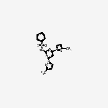 O=S(=O)(Nc1nc(-n2ccc(C(F)(F)F)n2)cc(-n2ccc(C(F)(F)F)n2)n1)c1ccccc1